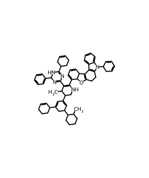 CC1CCCCC1C1C=C(C2CNC(C3=CC=CC4C5=C(CCc6c5c5ccccc5n6C5C=CC=CC5)OC34)=C(C3=NC(c4ccccc4)NC(C4CC=CCC4)=N3)C2C)C=C(C2C=CCCC2)C1